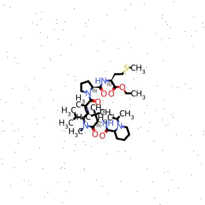 CCOC(=O)[C@H](CCSC)NC(=O)[C@@H]1CCCN1C(=O)/C(C)=C/[C@H](C(C)C)N(C)C(=O)[C@@H](NC(=O)C1CCCCN1C(C)C)C(C)(C)C